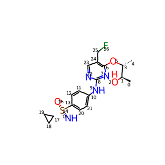 C[C@@H](O)[C@@H](C)Oc1nc(Nc2ccc([S@](=N)(=O)C3CC3)cc2)ncc1CF